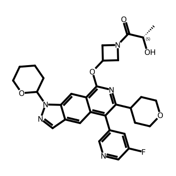 C[C@H](O)C(=O)N1CC(Oc2nc(C3CCOCC3)c(-c3cncc(F)c3)c3cc4cnn(C5CCCCO5)c4cc23)C1